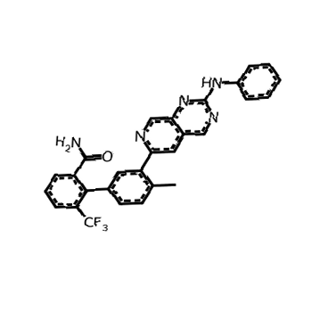 Cc1ccc(-c2c(C(N)=O)cccc2C(F)(F)F)cc1-c1cc2cnc(Nc3ccccc3)nc2cn1